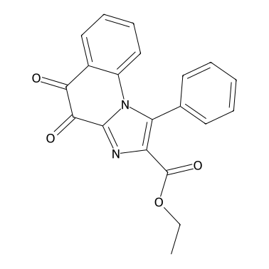 CCOC(=O)c1nc2n(c1-c1ccccc1)-c1ccccc1C(=O)C2=O